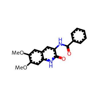 COc1cc2cc(NC(=O)c3ccccc3)c(=O)[nH]c2cc1OC